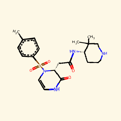 Cc1ccc(S(=O)(=O)N2C=CNC(=O)[C@H]2CC(=O)N[C@H]2CCNCC2(C)C)cc1